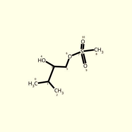 CC(C)C(O)COS(C)(=O)=O